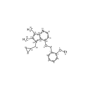 CCOc1ccccc1COc1ccnc2c(C)c(C)n(CC3CC3)c12